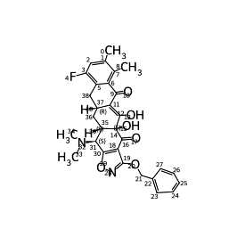 Cc1cc(F)c2c(c1C)C(=O)C1=C(O)[C@]3(O)C(=O)c4c(OCc5ccccc5)noc4[C@@H](N(C)C)[C@@H]3C[C@@H]1C2